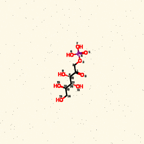 O=C(COP(=O)(O)O)[C@@H](O)[C@H](O)[C@H](O)CO